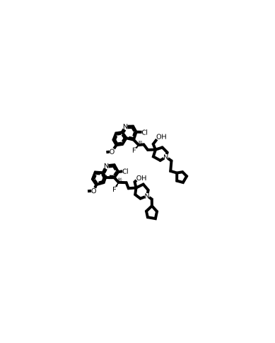 COc1ccc2ncc(Cl)c([C@H](F)CCC3(CO)CCN(CC4CCCC4)CC3)c2c1.COc1ccc2ncc(Cl)c([C@H](F)CCC3(CO)CCN(CCC4CCCC4)CC3)c2c1